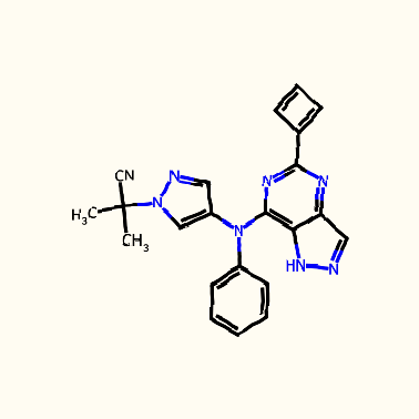 CC(C)(C#N)n1cc(N(c2ccccc2)c2nc(C3=CC=C3)nc3cn[nH]c23)cn1